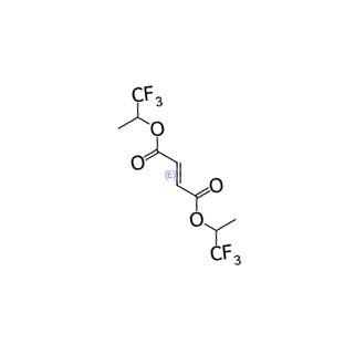 CC(OC(=O)/C=C/C(=O)OC(C)C(F)(F)F)C(F)(F)F